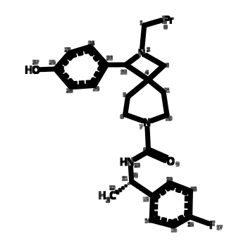 CC(C)CN1CC2(CCN(C(=O)N[C@@H](C)c3ccc(F)cc3)CC2)C1c1ccc(O)cc1